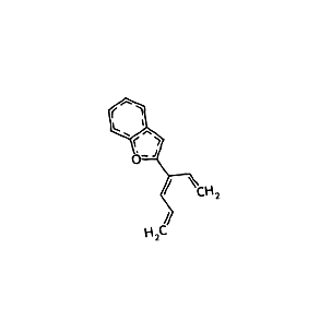 C=C/C=C(\C=C)c1cc2ccccc2o1